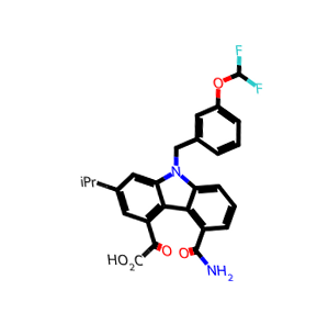 CC(C)c1cc(C(=O)C(=O)O)c2c3c(C(N)=O)cccc3n(Cc3cccc(OC(F)F)c3)c2c1